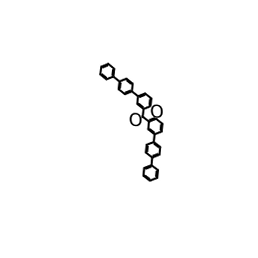 O=c1c2cc(-c3ccc(-c4ccccc4)cc3)ccc2oc2ccc(-c3ccc(-c4ccccc4)cc3)cc12